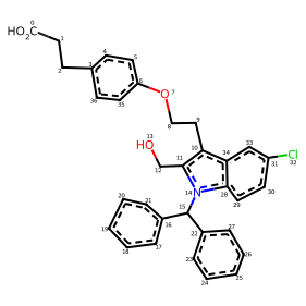 O=C(O)CCc1ccc(OCCc2c(CO)n(C(c3ccccc3)c3ccccc3)c3ccc(Cl)cc23)cc1